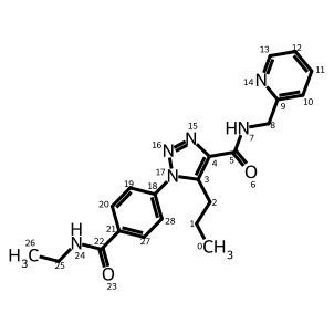 CCCc1c(C(=O)NCc2ccccn2)nnn1-c1ccc(C(=O)NCC)cc1